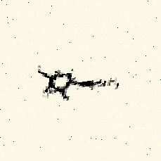 Cc1ccc(C#[C][SnH3])c(C)c1C